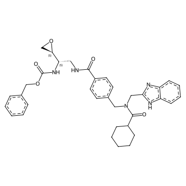 O=C(N[C@@H](CNC(=O)c1ccc(CN(Cc2nc3ccccc3[nH]2)C(=O)C2CCCCC2)cc1)[C@H]1CO1)OCc1ccccc1